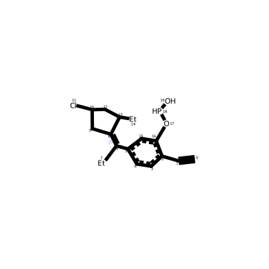 C#Cc1ccc(/C(CC)=C2/CC(Cl)CC2CC)cc1OPO